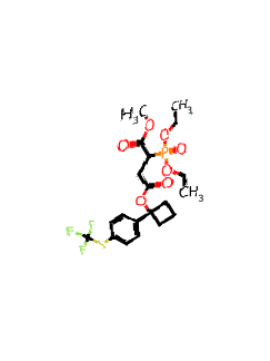 CCOP(=O)(OCC)C(CC(=O)OC1(c2ccc(SC(F)(F)F)cc2)CCC1)C(=O)OC